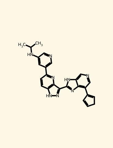 CC(C)Nc1cncc(-c2ccc3[nH]nc(-c4nc5c(C6=CCC=C6)cncc5[nH]4)c3n2)c1